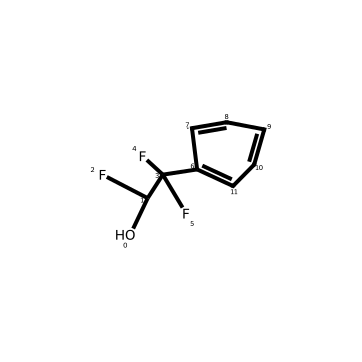 OC(F)C(F)(F)c1[c]cccc1